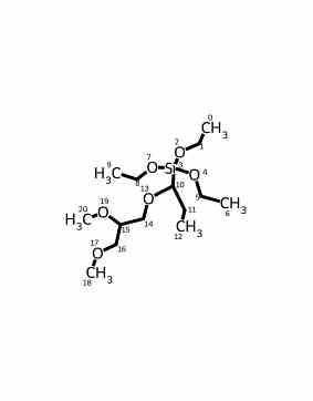 CCO[Si](OCC)(OCC)C(CC)OCC(COC)OC